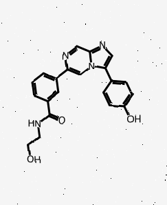 O=C(NCCO)c1cccc(-c2cn3c(-c4ccc(O)cc4)cnc3cn2)c1